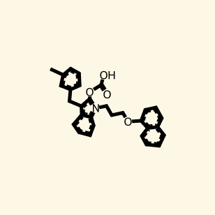 Cc1cccc(Cc2c(OC(=O)O)n(CCCOc3cccc4ccccc34)c3ccccc23)c1